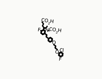 Cc1c(CCCC(=O)O)c2c(F)ccc(C=Cc3ccc(OCC=CCOc4cc(F)ccc4Cl)cc3)c2n1CC(=O)O